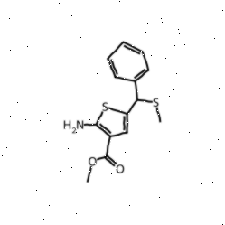 COC(=O)c1cc(C(SC)c2ccccc2)sc1N